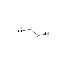 C[CH]OCCC